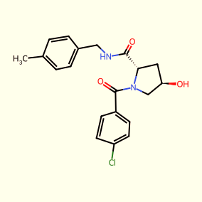 Cc1ccc(CNC(=O)[C@@H]2C[C@@H](O)CN2C(=O)c2ccc(Cl)cc2)cc1